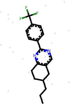 CCCC1CCc2nc(-c3ccc(C(F)(F)F)cc3)ncc2C1